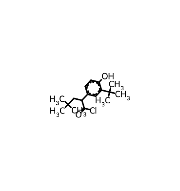 CC(C)(C)CC(C(=O)Cl)c1ccc(O)c(C(C)(C)C)c1